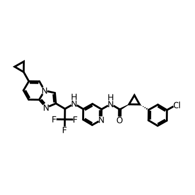 O=C(Nc1cc(NC(c2cn3cc(C4CC4)ccc3n2)C(F)(F)F)ccn1)[C@H]1C[C@@H]1c1cccc(Cl)c1